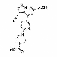 C#Cc1cc(-c2ccc(N3CCN(C(=O)O)CC3)nc2)c2c(C#N)cnn2c1